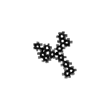 c1ccc(-n2c3cccc(-c4cccc(N(c5ccc(-c6ccc(-c7cccc8ccccc78)cc6)cc5)c5ccc(-c6cc7ccccc7c7ccccc67)cc5)c4)c3c3c4ccccc4ccc32)cc1